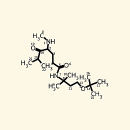 CNC(CCC(=O)NC(C)(C)CCOC(C)(C)C)C(=O)C(C)C